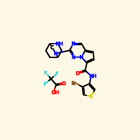 O=C(Nc1cscc1Br)c1ccc2cnc(N3CC4CCC3CN4)nn12.O=C(O)C(F)(F)F